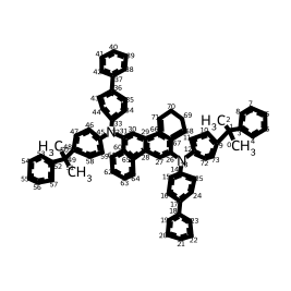 CC(C)(c1ccccc1)c1ccc(N(c2ccc(-c3ccccc3)cc2)c2cc3c(cc(N(c4ccc(-c5ccccc5)cc4)c4ccc(C(C)(C)c5ccccc5)cc4)c4ccccc43)c3c2=CCCC=3)cc1